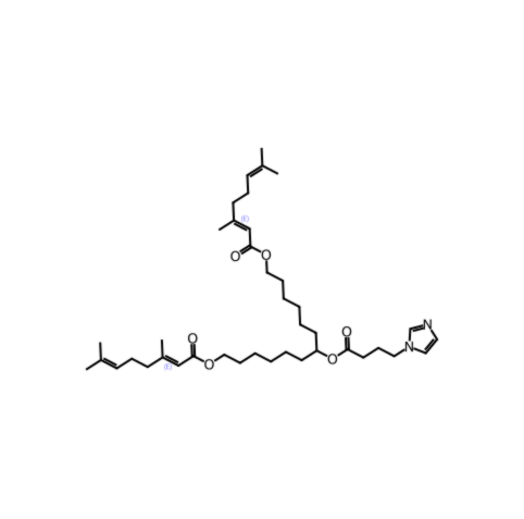 CC(C)=CCC/C(C)=C/C(=O)OCCCCCCC(CCCCCCOC(=O)/C=C(\C)CCC=C(C)C)OC(=O)CCCn1ccnc1